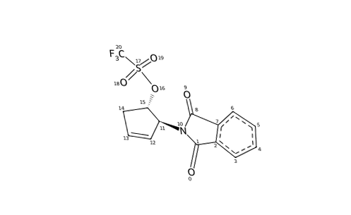 O=C1c2ccccc2C(=O)N1[C@H]1C=CC[C@@H]1OS(=O)(=O)C(F)(F)F